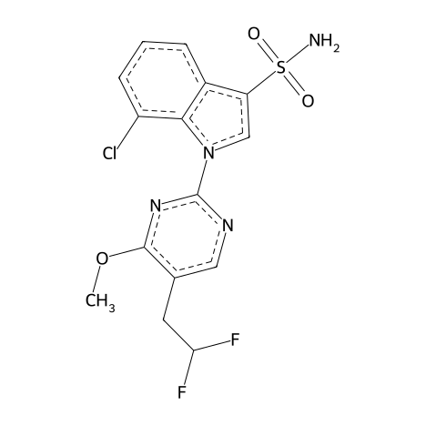 COc1nc(-n2cc(S(N)(=O)=O)c3cccc(Cl)c32)ncc1CC(F)F